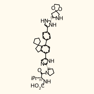 CC(C)[C@H](NC(=O)O)C(=O)N1CCC[C@H]1c1ncc(-c2ccc(-c3ccc(C4=CNC([C@@H]5CC6(CN5)OCCO6)N4)cc3)c3c2CCC32CCCC2)[nH]1